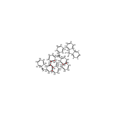 CC1(C)c2ccccc2-c2cccc(-c3cccc(N(c4cccc(-c5cccc6sc7ccccc7c56)c4)c4ccccc4C4=c5c(-c6ccccc6)cccc5=CCC4)c3)c21